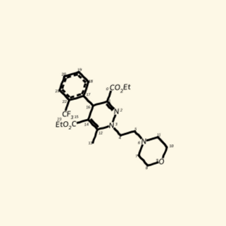 CCOC(=O)C1=NN(CCN2CCOCC2)C(C)=C(C(=O)OCC)C1c1ccccc1C(F)(F)F